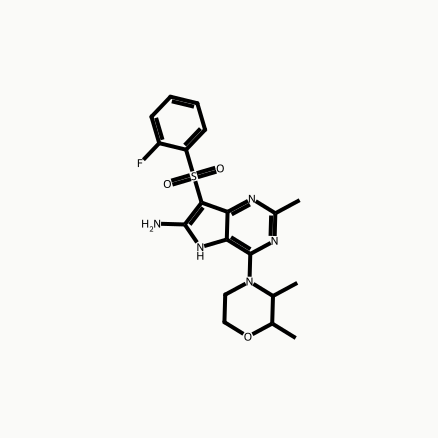 Cc1nc(N2CCOC(C)C2C)c2[nH]c(N)c(S(=O)(=O)c3ccccc3F)c2n1